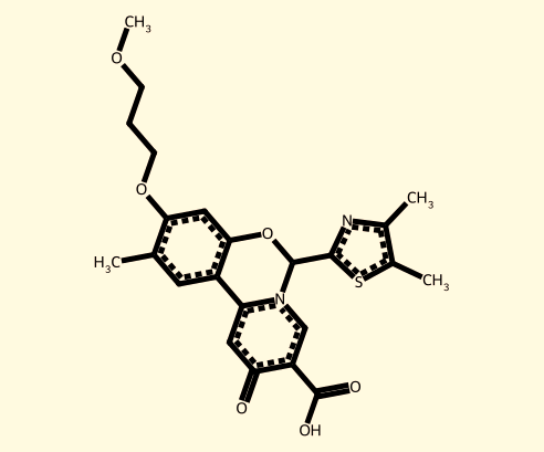 COCCCOc1cc2c(cc1C)-c1cc(=O)c(C(=O)O)cn1C(c1nc(C)c(C)s1)O2